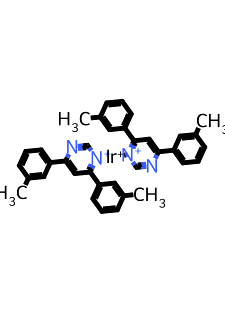 Cc1cccc(-c2cc(-c3cccc(C)c3)[n+]([Ir+][n+]3cnc(-c4cccc(C)c4)cc3-c3cccc(C)c3)cn2)c1